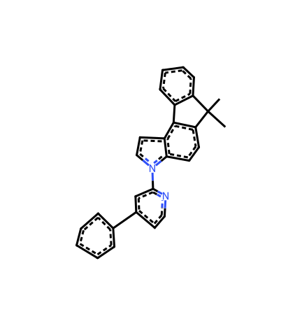 CC1(C)c2ccccc2-c2c1ccc1c2ccn1-c1cc(-c2ccccc2)ccn1